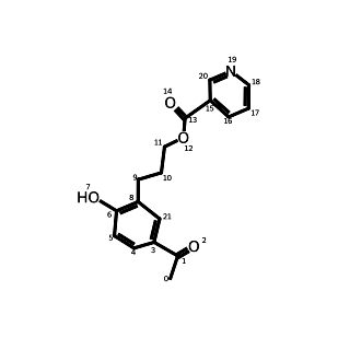 CC(=O)c1ccc(O)c(CCCOC(=O)c2cccnc2)c1